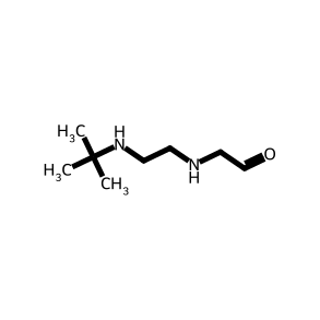 CC(C)(C)NCCNCC=O